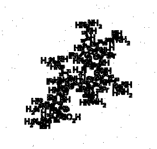 CC(C)[C@H](N)C(=O)N[C@H](C(=O)N[C@@H](CCCNC(=N)N)C(=O)N[C@@H](CCCNC(=N)N)C(=O)N[C@H](C(=O)N[C@H](C(=O)N[C@@H](CCCNC(=N)N)C(=O)N[C@H](C(=O)N[C@H](C(=O)N[C@@H](CCCNC(=N)N)C(=O)N[C@@H](CCCNC(=N)N)C(=O)N[C@H](C(=O)N[C@H](C(=O)N[C@@H](CCCNC(=N)N)C(=O)N[C@@H](CCCNC(=N)N)C(=O)O)C(C)C)C(C)C)C(C)C)C(C)C)C(C)C)C(C)C)C(C)C